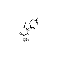 C=C(C)CC1CC[C@@H](CC(=O)OCC(C)C)C1=C